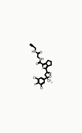 C#CCNC(=O)CNC(=O)c1sc(C2=NO[C@@](c3cc(Cl)c(F)c(Cl)c3)(C(F)(F)F)C2)c2c1CCC2